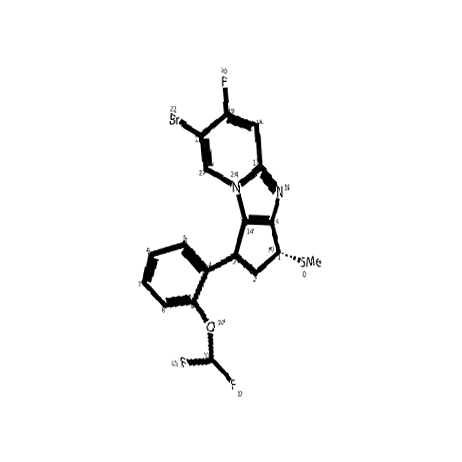 CS[C@@H]1CC(c2ccccc2OC(F)F)c2c1nc1cc(F)c(Br)cn21